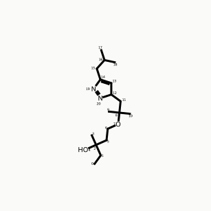 CCC(C)(O)CCOC(C)(C)CC1C=C(CC(C)C)N=N1